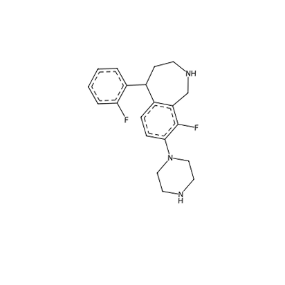 Fc1ccccc1C1CCNCc2c1ccc(N1CCNCC1)c2F